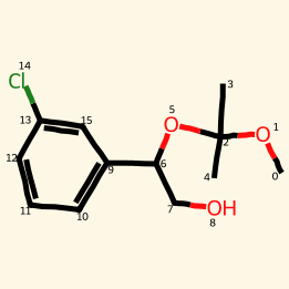 COC(C)(C)OC(CO)c1cccc(Cl)c1